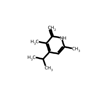 C=C1NC(C)=CC(C(C)C)=C1C